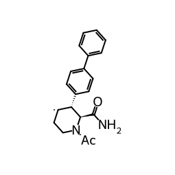 CC(=O)N1CC[CH][C@H](c2ccc(-c3ccccc3)cc2)[C@H]1C(N)=O